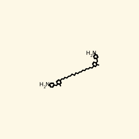 Cc1cc(CCCCCCCCCCCCCCCCCCc2ccc(Cc3ccc(N)cc3)c(C)c2)ccc1Cc1ccc(N)cc1